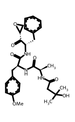 COc1ccc(C[C@H](NC(=O)[C@@H](C)NC(=O)CC(C)(C)O)C(=O)N[C@@H](Cc2ccccc2)C(=O)[C@H]2CO2)cc1